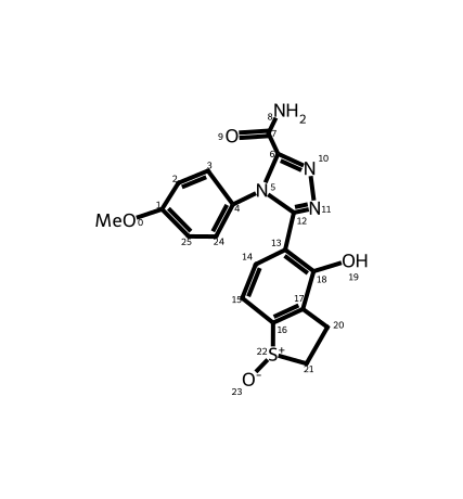 COc1ccc(-n2c(C(N)=O)nnc2-c2ccc3c(c2O)CC[S+]3[O-])cc1